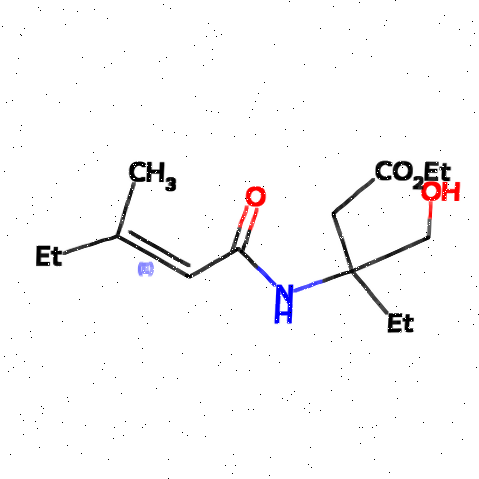 CCOC(=O)CC(CC)(CO)NC(=O)/C=C(\C)CC